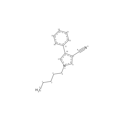 CCCCCn1cc(C#N)c(-c2ccccc2)c1